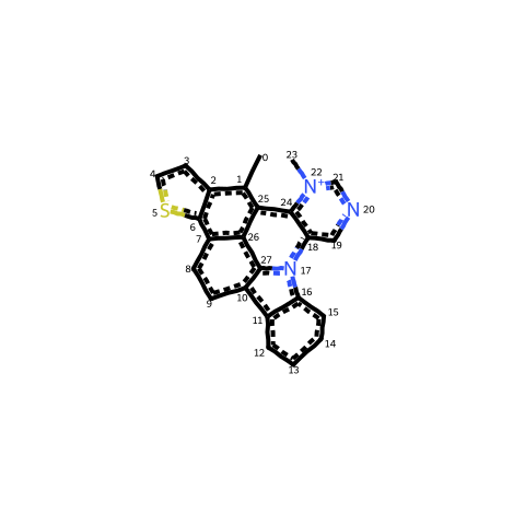 Cc1c2ccsc2c2ccc3c4ccccc4n4c5cnc[n+](C)c5c1c2c34